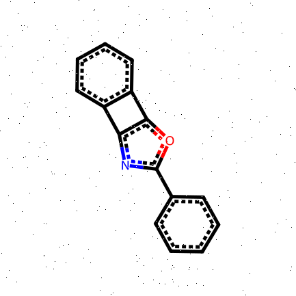 c1ccc(-c2nc3c(o2)-c2ccccc2-3)cc1